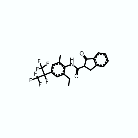 CCc1cc(C(F)(C(F)(F)F)C(F)(F)F)cc(C)c1NC(=O)C1Cc2ccccc2C1=O